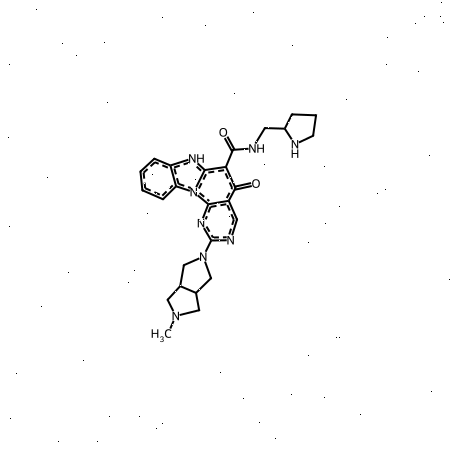 CN1CC2CN(c3ncc4c(=O)c(C(=O)NCC5CCCN5)c5[nH]c6ccccc6n5c4n3)CC2C1